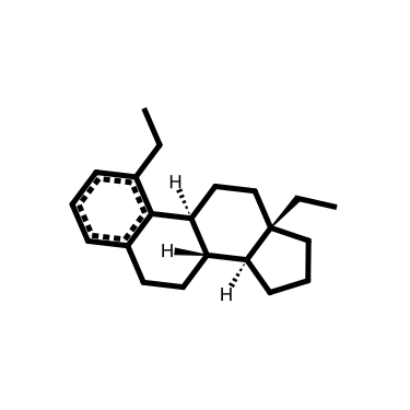 CCc1cccc2c1[C@H]1CC[C@]3(CC)CCC[C@H]3[C@@H]1CC2